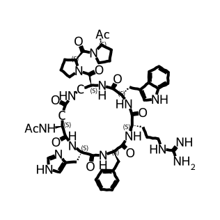 CC(=O)N[C@H]1CC(=O)NC[C@@H](C(=O)N2CCC[C@H]2C(=O)N2CCC[C@H]2C(C)=O)NC(=O)[C@H](Cc2c[nH]c3ccccc23)NC(=O)[C@H](CCCNC(=N)N)NC(=O)[C@@H](Cc2ccccc2)NC(=O)[C@H](Cc2c[nH]cn2)NC1=O